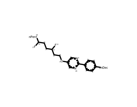 CCCCCCCCCCc1ccc(-c2ncc(OCCC(F)CCC(F)CCCCC)cn2)cc1